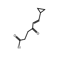 CCC(=O)CCC(=O)/C=C/C1CC1